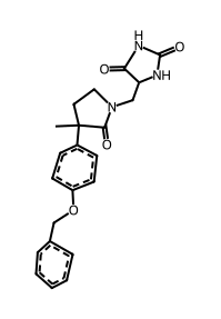 CC1(c2ccc(OCc3ccccc3)cc2)CCN(CC2NC(=O)NC2=O)C1=O